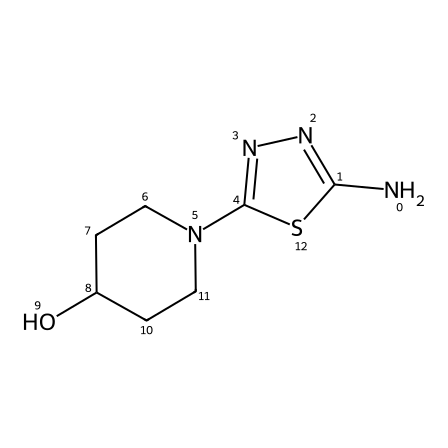 Nc1nnc(N2CCC(O)CC2)s1